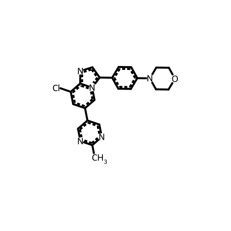 Cc1ncc(-c2cc(Cl)c3ncc(-c4ccc(N5CCOCC5)cc4)n3c2)cn1